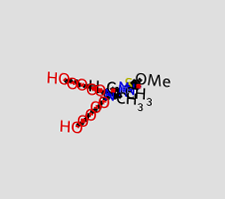 COc1ccc2c(c1)sc(/N=N/c1cc(C)c(N(CCOCCOCCOCCOCCO)CCOCCOCCOCCOCCO)cc1C)[n+]2C